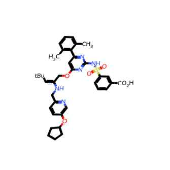 Cc1cccc(C)c1-c1cc(OC/C(=C\C(C)(C)C)NCc2ccc(OC3CCCC3)cn2)nc(NS(=O)(=O)c2cccc(C(=O)O)c2)n1